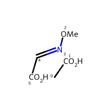 CC(=O)O.CON=CC(=O)O